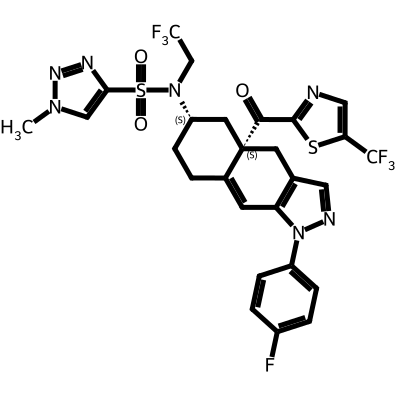 Cn1cc(S(=O)(=O)N(CC(F)(F)F)[C@H]2CCC3=Cc4c(cnn4-c4ccc(F)cc4)C[C@]3(C(=O)c3ncc(C(F)(F)F)s3)C2)nn1